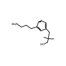 CNCCCc1cccc(CC(C)(C)CO)c1